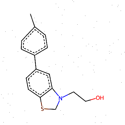 Cc1ccc(-c2ccc3c(c2)N(CCO)CS3)cc1